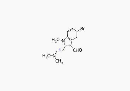 CN(C)/C=C/c1c(C=O)c2cc(Br)ccc2n1C